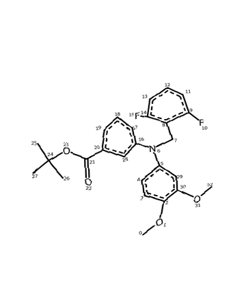 COc1ccc(N(Cc2c(F)cccc2F)c2cccc(C(=O)OC(C)(C)C)c2)cc1OC